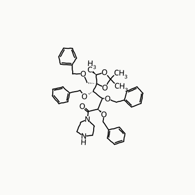 C[C@H]1OC(C)(C)O[C@@]1(COCc1ccccc1)[C@@H](OCc1ccccc1)[C@H](OCc1ccccc1)[C@@H](OCc1ccccc1)C(=O)N1CCNCC1